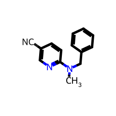 CN(Cc1ccccc1)c1ccc(C#N)cn1